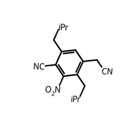 CC(C)Cc1cc(CC#N)c(CC(C)C)c([N+](=O)[O-])c1C#N